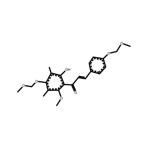 COCOc1ccc(C=CC(=O)c2c(O)c(C)c(OCOC)c(C)c2OC)cc1